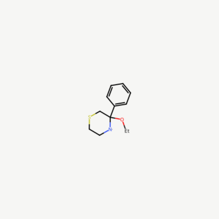 CCOC1(c2ccccc2)CSCC[N]1